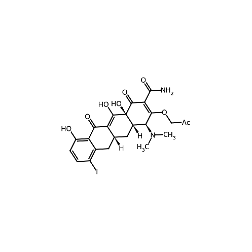 CC(=O)COC1=C(C(N)=O)C(=O)[C@@]2(O)C(O)=C3C(=O)c4c(O)ccc(I)c4C[C@H]3C[C@H]2[C@@H]1N(C)C